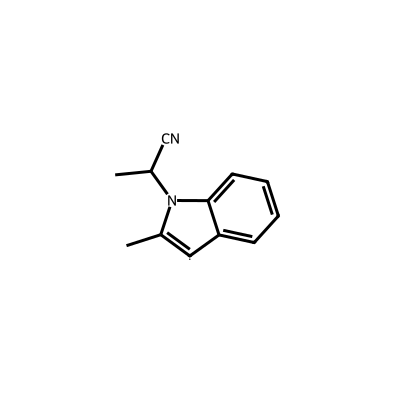 Cc1[c]c2ccccc2n1C(C)C#N